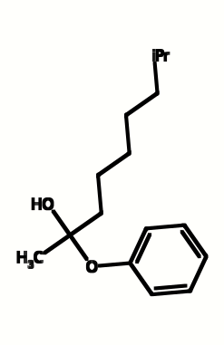 CC(C)CCCCCC(C)(O)Oc1ccccc1